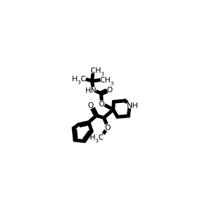 COC(C(=O)c1ccccc1)C1(OC(=O)NC(C)(C)C)CCNCC1